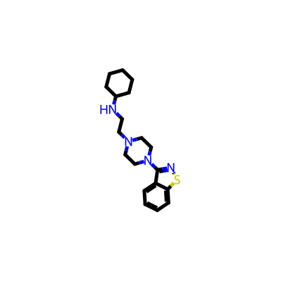 c1ccc2c(N3CCN(CCNC4CCCCC4)CC3)nsc2c1